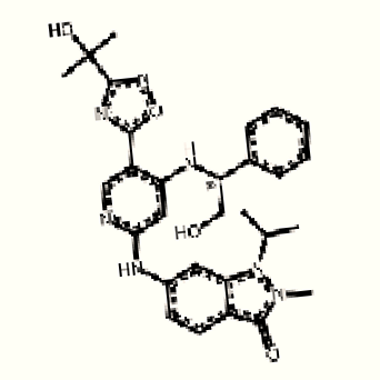 CC(C)n1c2cc(Nc3cc(N[C@H](CO)c4ccccc4)c(-c4nc(C(C)(C)O)no4)cn3)ccc2c(=O)n1C